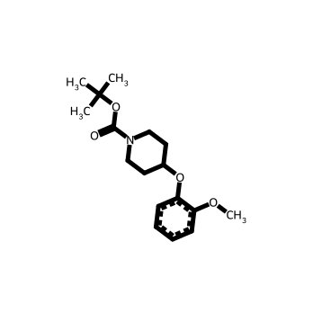 COc1ccccc1OC1CCN(C(=O)OC(C)(C)C)CC1